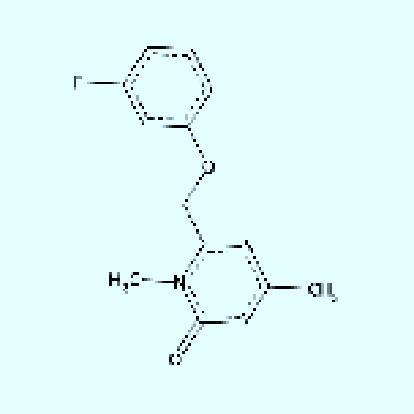 Cc1cc(=O)n(C)c(COc2cccc(F)c2)n1